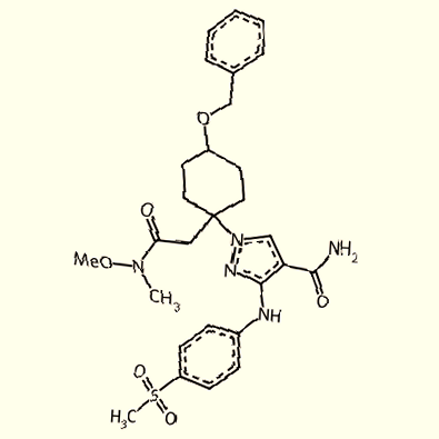 CON(C)C(=O)CC1(n2cc(C(N)=O)c(Nc3ccc(S(C)(=O)=O)cc3)n2)CCC(OCc2ccccc2)CC1